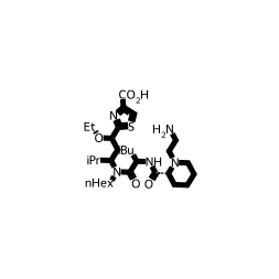 CCCCCCN(C(=O)C(NC(=O)[C@H]1CCCCN1CCN)C(C)CC)C(CC(OCC)c1nc(C(=O)O)cs1)C(C)C